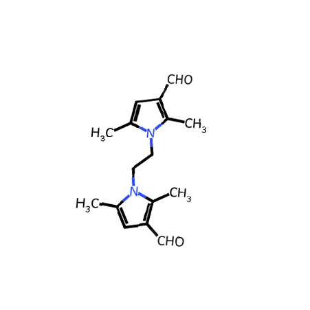 Cc1cc(C=O)c(C)n1CCn1c(C)cc(C=O)c1C